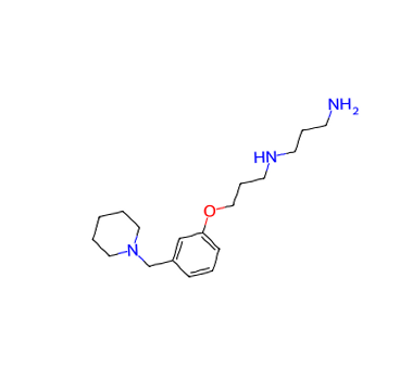 NCCCNCCCOc1cccc(CN2CCCCC2)c1